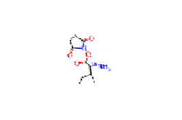 CCC(C)C([15NH2])C(=O)ON1C(=O)CCC1=O